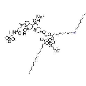 CCCCCCCC/C=C\CCCCCCCC(=O)O[C@@H](CO[C@@H]1CC[C@@]2(C)C(C1)C[C@@H](O)C1C2C[C@H](O)[C@@]2(C)C1CC[C@@H]2[C@H](C)CCC(=O)NCCS(=O)(=O)[O-])C(OP(=O)([O-])OCC[N+](C)(C)C)C(=O)CCCCCCCCCCCCCCC.[Na+]